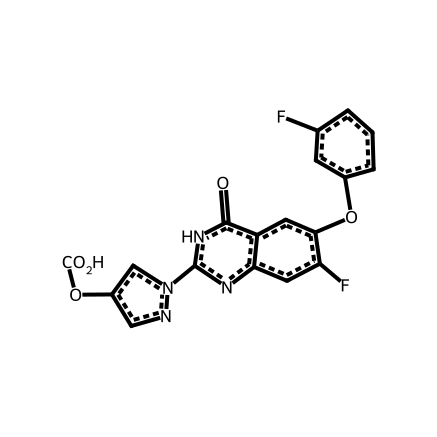 O=C(O)Oc1cnn(-c2nc3cc(F)c(Oc4cccc(F)c4)cc3c(=O)[nH]2)c1